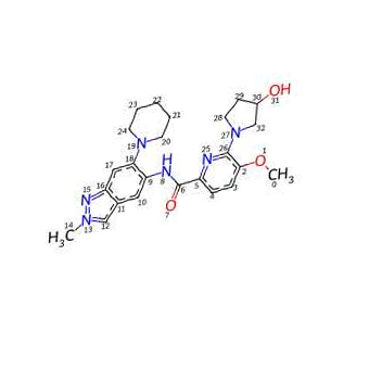 COc1ccc(C(=O)Nc2cc3cn(C)nc3cc2N2CCCCC2)nc1N1CCC(O)C1